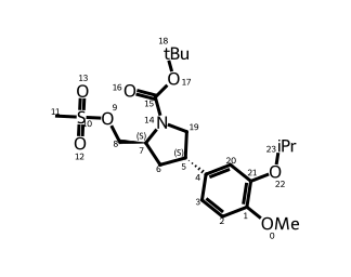 COc1ccc([C@@H]2C[C@@H](COS(C)(=O)=O)N(C(=O)OC(C)(C)C)C2)cc1OC(C)C